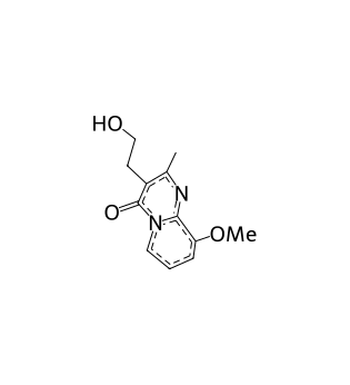 COc1cccn2c(=O)c(CCO)c(C)nc12